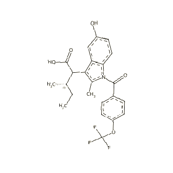 CC[C@H](C)C(C(=O)O)c1c(C)n(C(=O)c2ccc(OC(F)(F)F)cc2)c2ccc(O)cc12